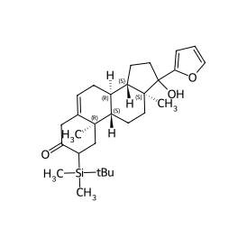 CC(C)(C)[Si](C)(C)C1C[C@@]2(C)C(=CC[C@@H]3[C@@H]2CC[C@@]2(C)[C@H]3CCC2(O)c2ccco2)CC1=O